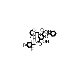 C[C@H]1CCO[C@@H](CN2C=C(C(=O)NCc3ccc(F)cc3F)C(O)C(OCc3ccccc3)=C2C(=O)O)N1